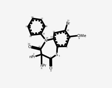 CCCC1(CCC)C(=O)Sc2cc(OC)c(Br)cc2N(c2ccccc2)C1=O